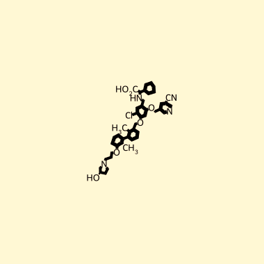 Cc1c(COc2cc(OCc3cncc(C#N)c3)c(CNC(C(=O)O)c3ccccc3)cc2Cl)cccc1-c1cccc(OCCCN2CC[C@@H](O)C2)c1C